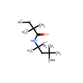 COC(C)(C)CC(C)(C)NC(=O)C(C)(C)CC(C)C